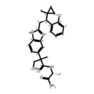 COCC(C)(C(=O)N[C@H](C)C(N)=O)c1ccc2[nH]c(C[C@H](c3ccccc3Cl)C3(C)CC3)nc2c1